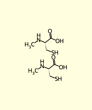 CN[C@@H](CS)C(=O)O.CN[C@@H](CS)C(=O)O